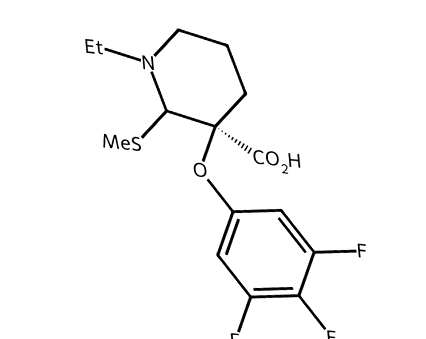 CCN1CCC[C@](Oc2cc(F)c(F)c(F)c2)(C(=O)O)C1SC